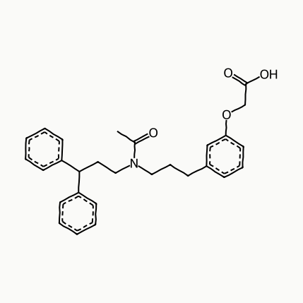 CC(=O)N(CCCc1cccc(OCC(=O)O)c1)CCC(c1ccccc1)c1ccccc1